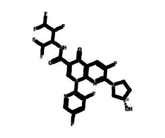 O=C(NC(C(F)F)C(F)C(F)F)c1cn(-c2ncc(F)cc2F)c2nc(N3CC[C@H](O)C3)c(F)cc2c1=O